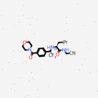 CC(C)C[C@H](N[C@@H](c1ccc(C(=O)N2CCOCC2)cc1)C(F)(F)F)C(=O)NCC#N